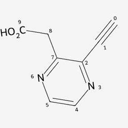 C#Cc1nccnc1CC(=O)O